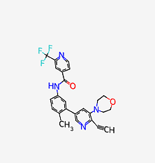 C#Cc1ncc(-c2cc(NC(=O)c3ccnc(C(F)(F)F)c3)ccc2C)cc1N1CCOCC1